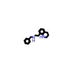 c1ccc(CNCCc2cccc3c2NCCC3)cc1